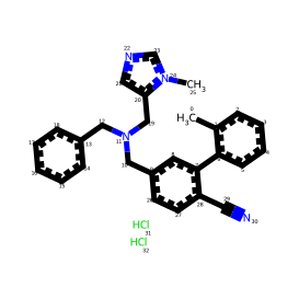 Cc1ccccc1-c1cc(CN(Cc2ccccc2)Cc2cncn2C)ccc1C#N.Cl.Cl